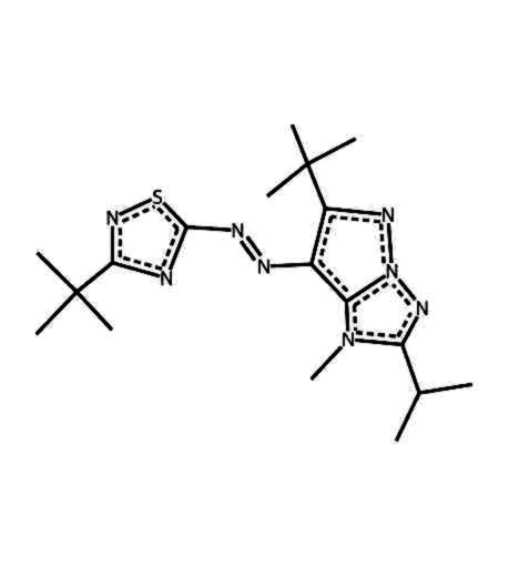 CC(C)c1nn2nc(C(C)(C)C)c(N=Nc3nc(C(C)(C)C)ns3)c2n1C